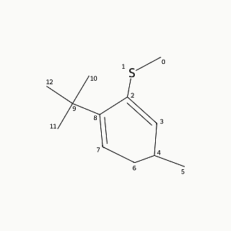 CSC1=CC(C)CC=C1C(C)(C)C